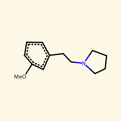 COc1[c]ccc(CCN2CCCC2)c1